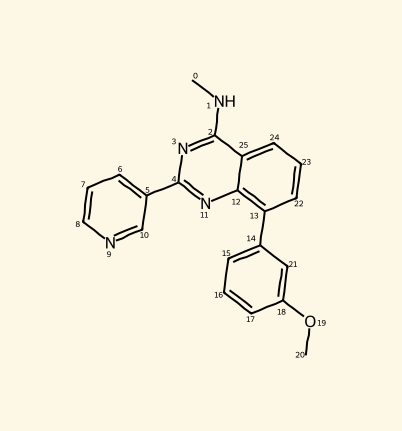 CNc1nc(-c2cccnc2)nc2c(-c3cccc(OC)c3)cccc12